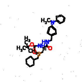 CN(c1ccccc1)c1ccc(CNC(=O)[C@H](CSCC2CCCCC2)NC(=O)OC(C)(C)C)cc1